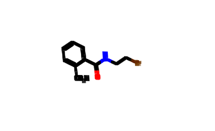 O=C(O)c1ccccc1C(=O)NCCBr